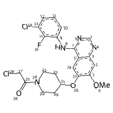 COc1cc2ncnc(Nc3cccc(Cl)c3F)c2cc1OC1CCN(C(=O)CCl)CC1